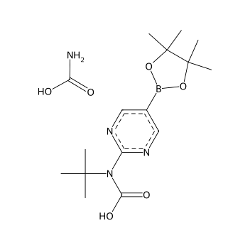 CC(C)(C)N(C(=O)O)c1ncc(B2OC(C)(C)C(C)(C)O2)cn1.NC(=O)O